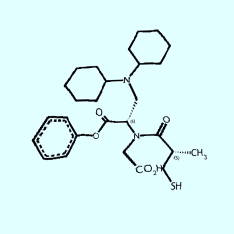 C[C@H](CS)C(=O)N(CC(=O)O)[C@@H](CN(C1CCCCC1)C1CCCCC1)C(=O)Oc1ccccc1